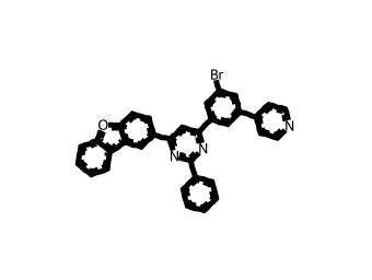 Brc1cc(-c2ccncc2)cc(-c2cc(-c3ccc4oc5ccccc5c4c3)nc(-c3ccccc3)n2)c1